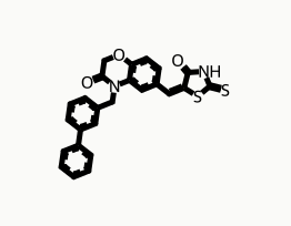 O=C1NC(=S)S/C1=C/c1ccc2c(c1)N(Cc1cccc(-c3ccccc3)c1)C(=O)CO2